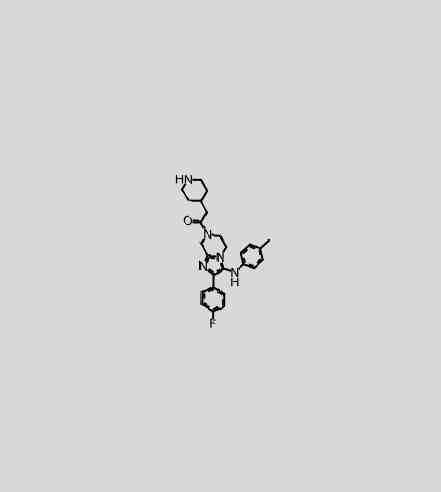 Cc1ccc(Nc2c(-c3ccc(F)cc3)nc3n2CCN(C(=O)CC2CCNCC2)C3)cc1